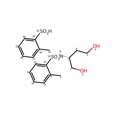 C[C@@H](CO)CCO.Cc1ccccc1S(=O)(=O)O.Cc1ccccc1S(=O)(=O)O